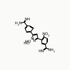 Cl.Cl.N=C(N)c1ccc(-c2cc(-c3cc(C(=N)N)ccc3[N+](=O)[O-])no2)cc1